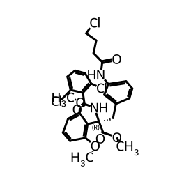 COC(=O)[C@](Cc1cccc(NC(=O)CCCCl)c1)(NC(=O)c1c(Cl)cccc1Cl)c1c(OC)cccc1OC